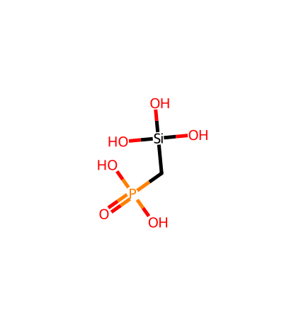 O=P(O)(O)C[Si](O)(O)O